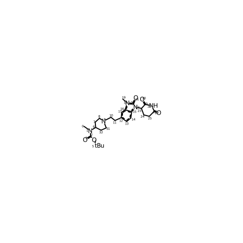 CN(C(=O)OC(C)(C)C)C1CCN(CCc2ccc3c(c2)n(C)c(=O)n3C2CCC(=O)NC2=O)CC1